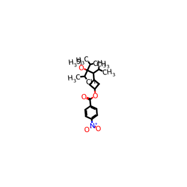 CC(C)C(C1CC(OC(=O)c2ccc([N+](=O)[O-])cc2)C1)C(O[SiH3])(C(C)C)C(C)C